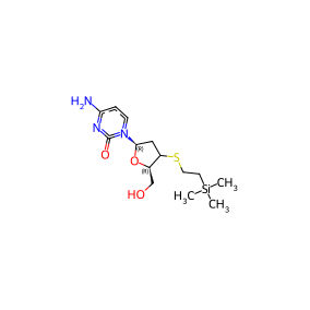 C[Si](C)(C)CCSC1C[C@H](n2ccc(N)nc2=O)O[C@@H]1CO